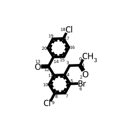 CC(=O)Cc1c(Br)cc(Cl)cc1C(=O)c1ccc(Cl)cc1